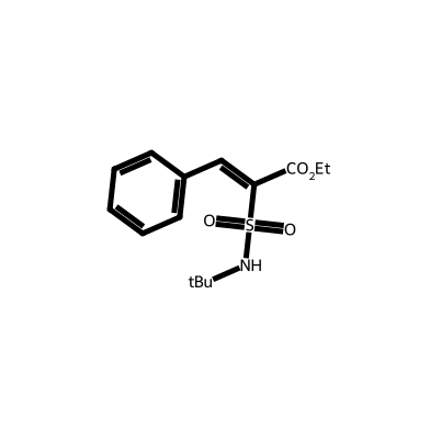 CCOC(=O)C(=Cc1ccccc1)S(=O)(=O)NC(C)(C)C